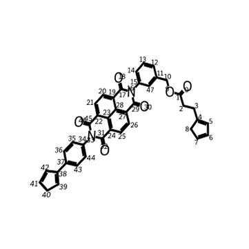 O=C(CCC1=CC=CC1)OCc1cccc(N2C(=O)c3ccc4c5c(ccc(c35)C2=O)C(=O)N(c2ccc(C3=CCC=C3)cc2)C4=O)c1